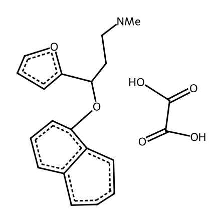 CNCCC(Oc1cccc2ccccc12)c1ccco1.O=C(O)C(=O)O